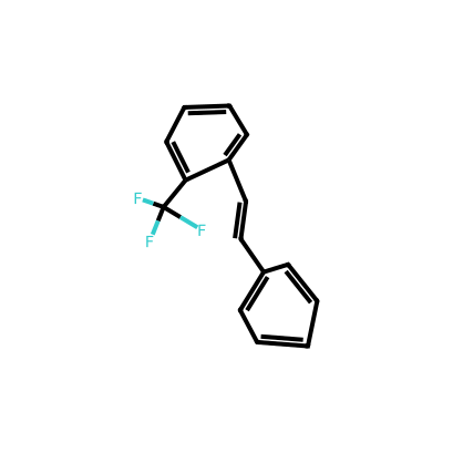 FC(F)(F)c1ccccc1C=Cc1ccccc1